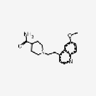 COc1ccc2nccc(CCN3CCC(C(N)=O)CC3)c2c1